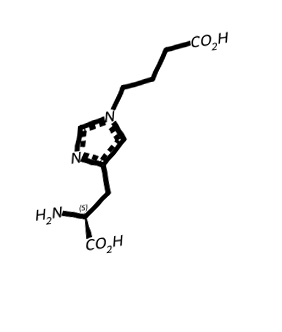 N[C@@H](Cc1cn(CCCC(=O)O)cn1)C(=O)O